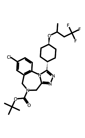 CC(CC(F)(F)F)O[C@H]1CC[C@H](c2nnc3n2-c2ccc(Cl)cc2CN(C(=O)OC(C)(C)C)C3)CC1